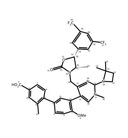 COc1ccc(-c2ccc(C(=O)O)cc2C)cc1C1=CN(C)C(N2CCC2(C)C)N=C1CN1C(=O)O[C@H](c2cc(C(F)(F)F)cc(C(F)(F)F)c2)[C@@H]1C